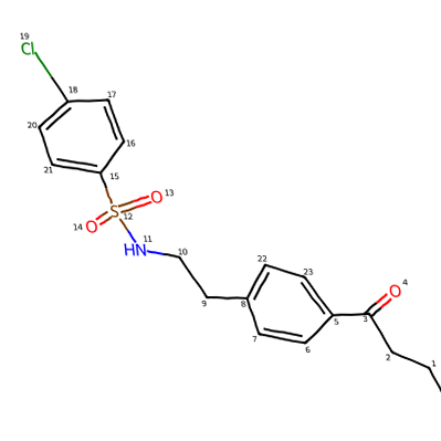 CCCC(=O)c1ccc(CCNS(=O)(=O)c2ccc(Cl)cc2)cc1